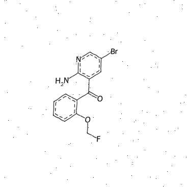 Nc1ncc(Br)cc1C(=O)c1ccccc1OCF